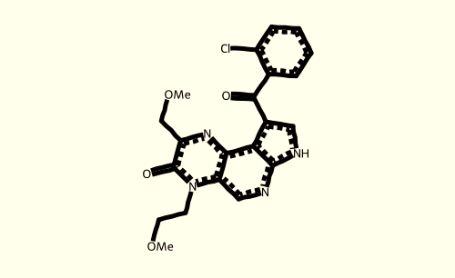 COCCn1c(=O)c(COC)nc2c3c(C(=O)c4ccccc4Cl)c[nH]c3ncc21